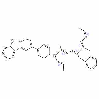 C\C=C/C=C1\Cc2ccccc2C\C1=C/C=C(\C)N(/C=C/C)C1C=CC(c2ccc3sc4ccccc4c3c2)=CC1